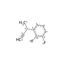 C#CC(C)c1cccc(F)c1F